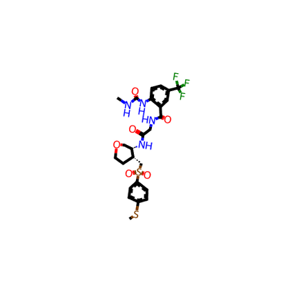 CNC(=O)Nc1ccc(C(F)(F)F)cc1C(=O)NCC(=O)N[C@H]1COCC[C@H]1CS(=O)(=O)c1ccc(SC)cc1